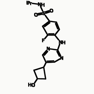 CC(C)NS(=O)(=O)c1ccc(Nc2ncc(C3CC(O)C3)cn2)c(F)c1